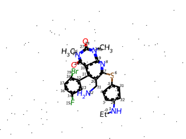 CCNc1ccc(Sc2nc3c(c(-c4cc(F)ccc4Br)c2CN)c(=O)n(C)c(=O)n3C)cc1